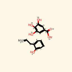 C=CCc1ccccc1O.O=C(O)c1cc(O)c(O)c(O)c1